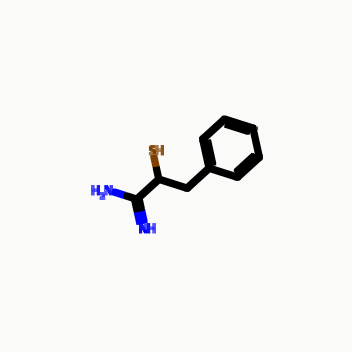 N=C(N)C(S)Cc1cc[c]cc1